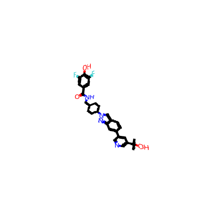 CC(C)(O)c1cncc(-c2ccc3cn(C4CCC(CNC(=O)c5cc(F)c(O)c(F)c5)CC4)nc3c2)c1